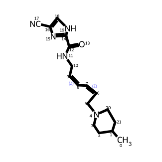 CC1CCN(C/C=C\C=C/CNC(=O)c2nc(C#N)c[nH]2)CC1